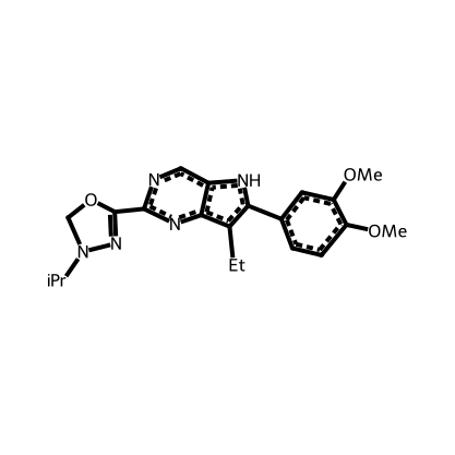 CCc1c(-c2ccc(OC)c(OC)c2)[nH]c2cnc(C3=NN(C(C)C)CO3)nc12